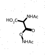 CC(=O)NOC(=O)C(NC(C)=O)C(=O)O